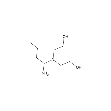 CCCC(N)N(CCO)CCO